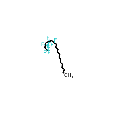 CCCCCCCCCCCCCC(F)(F)CC(F)(F)CC(F)(F)CC(F)(F)F